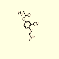 CN(C)/C=N/c1ccc(OC(N)=O)cc1C#N